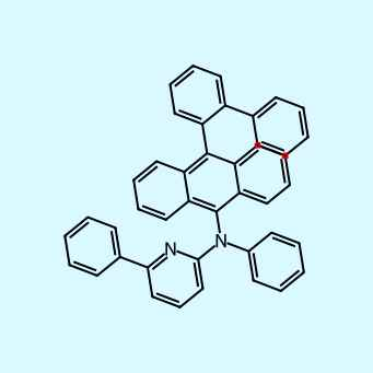 c1ccc(-c2cccc(N(c3ccccc3)c3c4ccccc4c(-c4ccccc4-c4ccccc4)c4ccccc34)n2)cc1